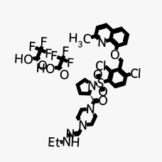 CCNN=CN1CCN(C(=O)[C@@H]2CCCN2S(=O)(=O)c2ccc(Cl)c(COc3cccc4ccc(C)nc34)c2Cl)CC1.O=C(O)C(F)(F)F.O=C(O)C(F)(F)F